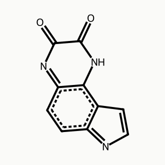 O=C1N=c2ccc3c(c2NC1=O)C=CN=3